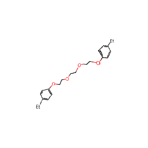 CCc1ccc(OCCOCCOCCOc2ccc(CC)cc2)cc1